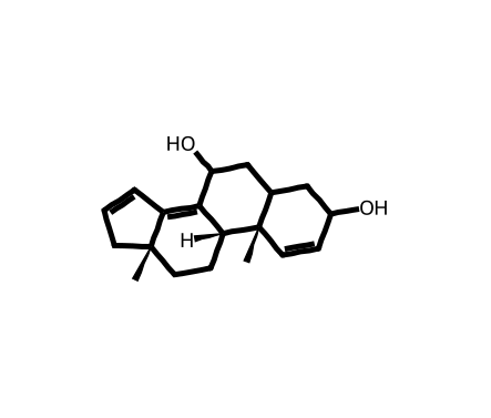 C[C@@]12CC=CC1=C1C(O)CC3CC(O)C=C[C@]3(C)[C@@H]1CC2